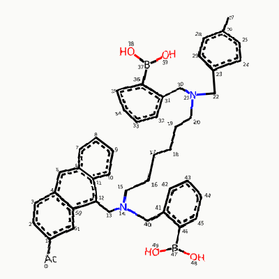 CC(=O)c1ccc2cc3ccccc3c(CN(CCCCCCN(Cc3ccc(C)cc3)Cc3ccccc3B(O)O)Cc3ccccc3B(O)O)c2c1